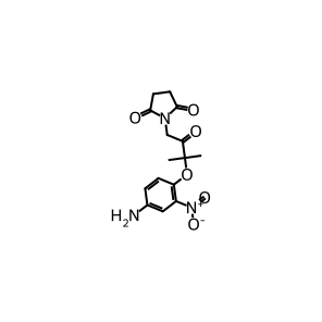 CC(C)(Oc1ccc(N)cc1[N+](=O)[O-])C(=O)CN1C(=O)CCC1=O